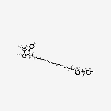 Cc1sc2c(c1C)C(c1ccc(Cl)cc1)=NC(PC(=O)NCCOCCOCCOCCOCCOCCNC(=O)COc1cccc(C(=O)[NH+]([O-])C3CCC(=O)NC3=O)c1C)c1nnc(C)n1-2